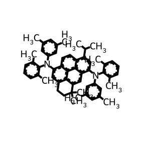 Cc1cc(C)cc(N(c2c(C)cccc2C)c2cc(C(C)C)c3ccc4c(N(c5cc(C)cc(C)c5)c5c(C)cccc5C)cc5c6c(cc2c3c46)C(C)(C)CC5)c1